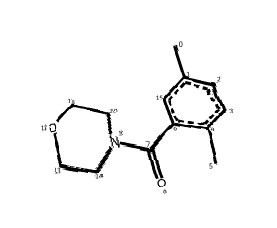 Cc1ccc(C)c(C(=O)N2CCOCC2)c1